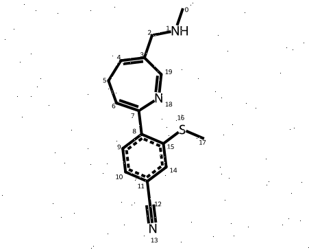 CNCC1=CCC=C(c2ccc(C#N)cc2SC)N=C1